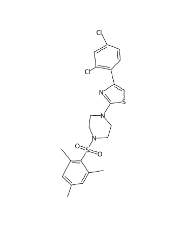 Cc1cc(C)c(S(=O)(=O)N2CCN(c3nc(-c4ccc(Cl)cc4Cl)cs3)CC2)c(C)c1